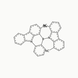 CC(C)(C)c1ccc2c3ccccc3n3c2c1B(n1c2c(C#N)cccc2c2cccc(C#N)c21)c1ccccc1-3